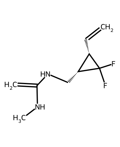 C=C[C@H]1[C@@H](CNC(=C)NC)C1(F)F